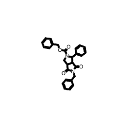 O=C1C2CN(C(=O)OCc3ccccc3)C(c3ccccc3)C2C(=O)N1Cc1ccccc1